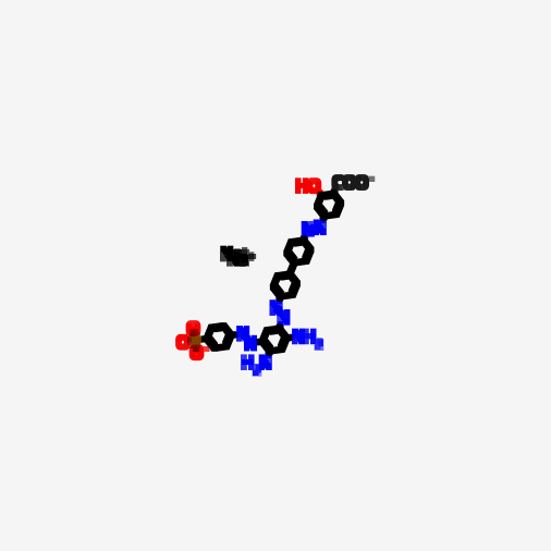 Nc1cc(N)c(N=Nc2ccc(S(=O)(=O)[O-])cc2)cc1N=Nc1ccc(-c2ccc(N=Nc3ccc(C(=O)[O-])c(O)c3)cc2)cc1.[Na+].[Na+]